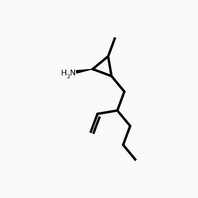 C=CC(CCC)CC1C(C)[C@@H]1N